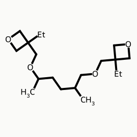 CCC1(COCC(C)CCC(C)OCC2(CC)COC2)COC1